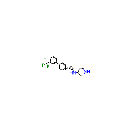 CC1([C@H]2C[C@@H]2NC2CCNCC2)C=CC(c2cccc(C(F)(F)F)c2)=CC1